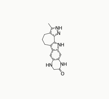 Cc1[nH]nc2c1CCCc1c-2[nH]c2cc3c(cc12)NCC(=O)N3